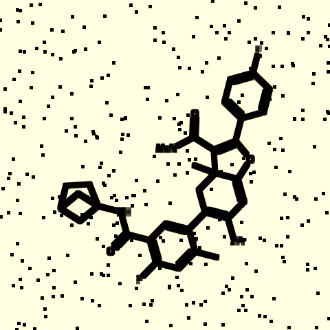 CCCC1=C(c2cc(C(=O)NC34CCC(C3)C4)c(F)cc2C)CC2(C)C(=C1)OC(c1ccc(F)cc1)=C2C(=O)NC